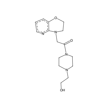 O=C(CN1CCOc2cccnc21)N1CCN(CCO)CC1